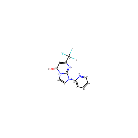 O=c1cc(C(F)(F)F)nc2n(-c3ccccn3)ccn12